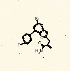 C=C(Cc1cc2cc(Br)cc(-c3ccc(F)cc3)c2o1)C(N)=O